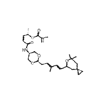 CNC(=O)O[C@@H](C)/C=C\C(=O)N[C@H]1CO[C@@H](C/C=C(C)/C=C/C2CC3(CC3)CC(C)(C)O2)OC1